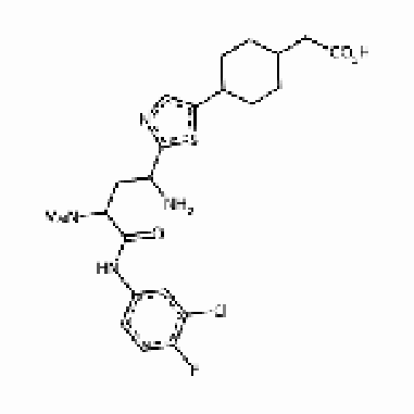 CNC(CC(N)c1ncc(C2CCC(CC(=O)O)CC2)s1)C(=O)Nc1ccc(F)c(Cl)c1